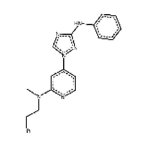 CC(C)CCN(C)c1cc(-n2cnc(Nc3ccccc3)n2)ccn1